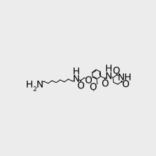 COCc1c(OCC(=O)NCCCCCCCCN)cccc1C(=O)NC1CCC(=O)NC1=O